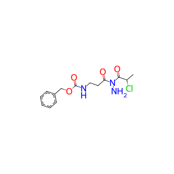 CC(Cl)C(=O)N(N)C(=O)CCNC(=O)OCc1ccccc1